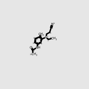 CCN(CCC#N)c1cc(NC(C)=O)ccc1C